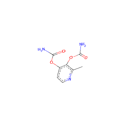 Cc1nccc(OC(N)=O)c1OC(N)=O